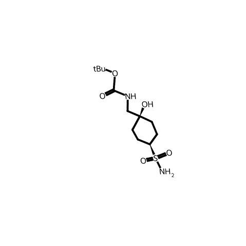 CC(C)(C)OC(=O)NC[C@]1(O)CC[C@@H](S(N)(=O)=O)CC1